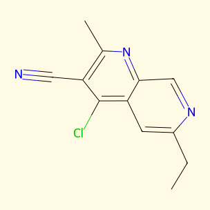 CCc1cc2c(Cl)c(C#N)c(C)nc2cn1